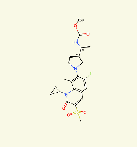 Cc1c(N2CC[C@@H]([C@H](C)NC(=O)OC(C)(C)C)C2)c(F)cc2cc(S(C)(=O)=O)c(=O)n(C3CC3)c12